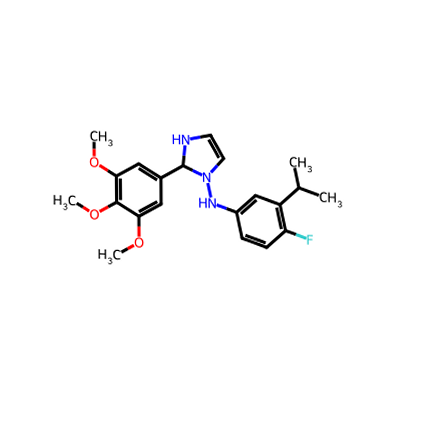 COc1cc(C2NC=CN2Nc2ccc(F)c(C(C)C)c2)cc(OC)c1OC